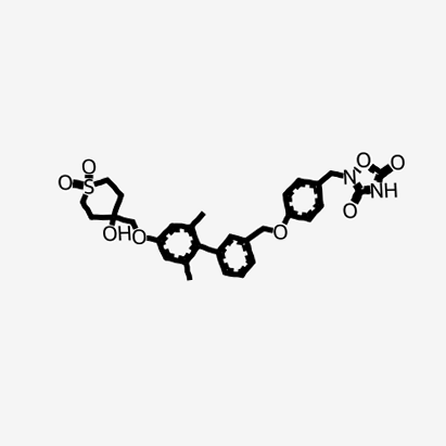 Cc1cc(OCC2(O)CCS(=O)(=O)CC2)cc(C)c1-c1cccc(COc2ccc(Cn3oc(=O)[nH]c3=O)cc2)c1